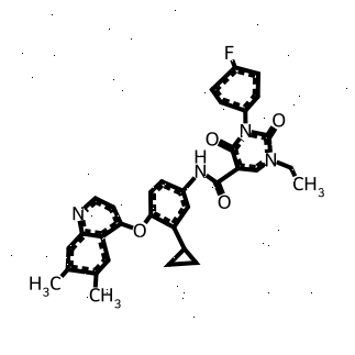 CCn1cc(C(=O)Nc2ccc(Oc3ccnc4cc(C)c(C)cc34)c(C3CC3)c2)c(=O)n(-c2ccc(F)cc2)c1=O